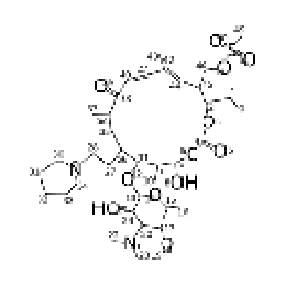 CCC1OC(=O)CC(O)C(C)C(OC2OC(C)C(OC)C(N(C)C)C2O)C(CCN2CCCCC2)CC(C)C(=O)/C=C/C(C)=C/C1COS(C)(=O)=O